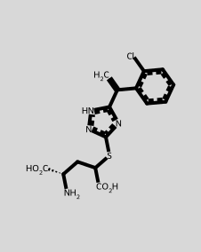 C=C(c1nc(SC(C[C@H](N)C(=O)O)C(=O)O)n[nH]1)c1ccccc1Cl